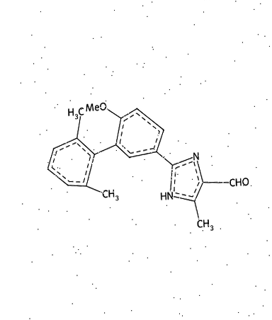 COc1ccc(-c2nc(C=O)c(C)[nH]2)cc1-c1c(C)cccc1C